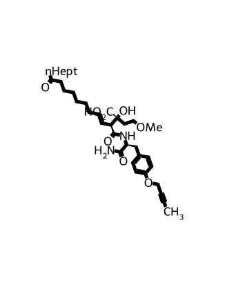 CC#CCOc1ccc(C[C@H](NC(=O)[C@@H](/C=C/CCCCCCC(=O)CCCCCCC)[C@@](O)(CCOC)C(=O)O)C(N)=O)cc1